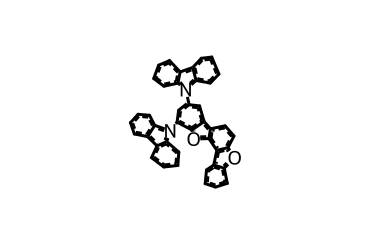 c1ccc2c(c1)oc1ccc3c4cc(-n5c6ccccc6c6ccccc65)cc(-n5c6ccccc6c6ccccc65)c4oc3c12